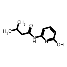 CC(C)CC(=O)Nc1cccc(O)n1